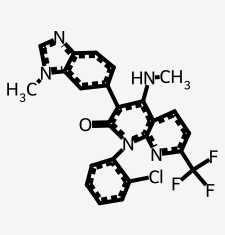 CNc1c(-c2ccc3ncn(C)c3c2)c(=O)n(-c2ccccc2Cl)c2nc(C(F)(F)F)ccc12